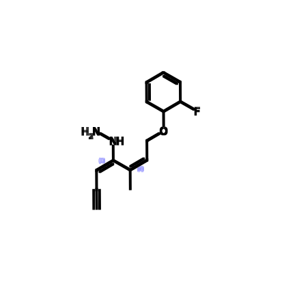 C#C/C=C(NN)\C(C)=C/COC1C=CC=CC1F